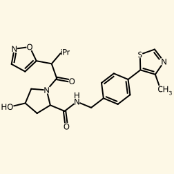 Cc1ncsc1-c1ccc(CNC(=O)C2CC(O)CN2C(=O)C(c2ccno2)C(C)C)cc1